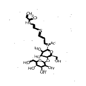 C=CC(=O)NCCSCCCN(C(C)=O)[C@@H]1O[C@@H](CO)[C@@H](O[C@@H]2OC(CO)[C@@H](O)[C@H](O)C2O)C(O)C1O